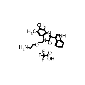 Cc1cc2nc(-c3c[nH]c4ccccc34)c(=O)n(CCOCCN)c2cc1C.O=C(O)C(F)(F)F